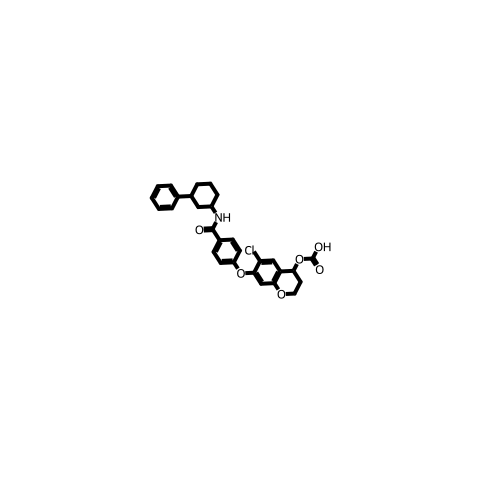 O=C(O)OC1CCOc2cc(Oc3ccc(C(=O)NC4CCCC(c5ccccc5)C4)cc3)c(Cl)cc21